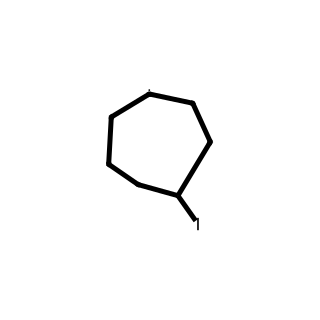 IC1CC[CH]CCC1